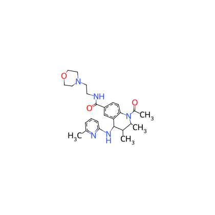 CC(=O)N1c2ccc(C(=O)NCCN3CCOCC3)cc2C(Nc2cccc(C)n2)C(C)C1C